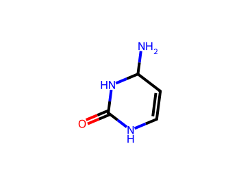 NC1C=CNC(=O)N1